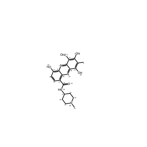 Cc1c(O)c(C=O)c2nc3c(O)ccc(C(=O)NC4CCN(C)CC4)c3nc2c1O